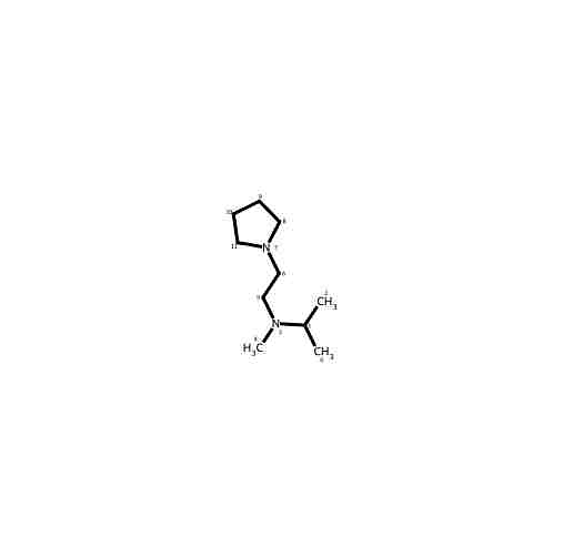 CC(C)N(C)CCN1CCCC1